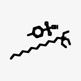 CCCCCCCCCCCC[N+](CC)(CC)CC.Cc1ccc(S(=O)(=O)O)cc1